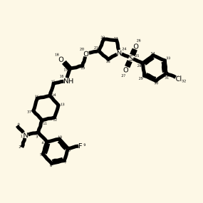 CN(C)C(c1cccc(F)c1)C1CCC(CNC(=O)COC2CCN(S(=O)(=O)c3ccc(Cl)cc3)C2)CC1